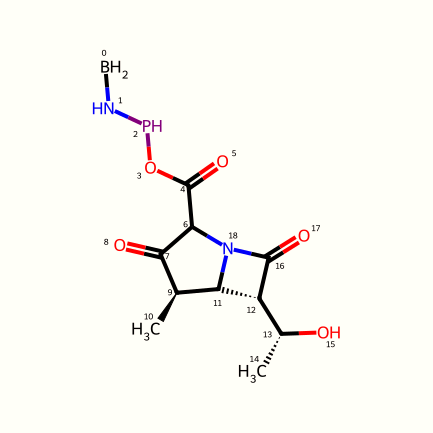 BNPOC(=O)C1C(=O)[C@H](C)C2[C@@H]([C@@H](C)O)C(=O)N12